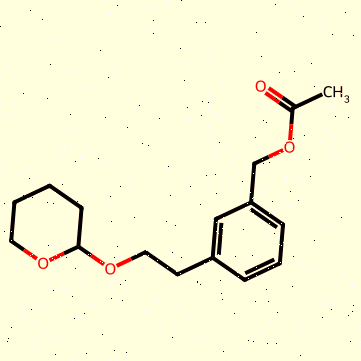 CC(=O)OCc1cccc(CCOC2CCCCO2)c1